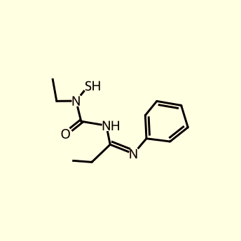 CCC(=Nc1ccccc1)NC(=O)N(S)CC